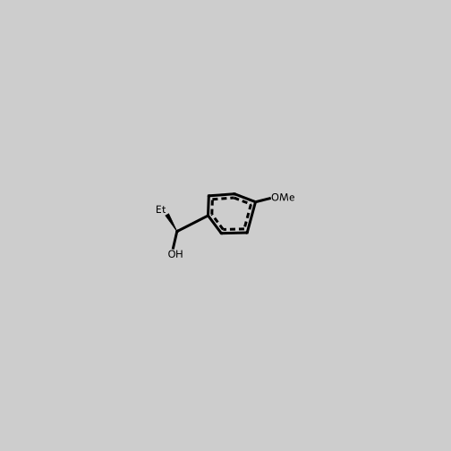 CC[C@H](O)c1ccc(OC)cc1